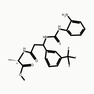 COC(=O)[C@H](C)NC(=O)CC(NC(=S)Nc1ccccc1N)c1cccc(C(F)(F)F)c1